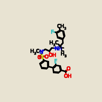 Cc1ccc(CC(C)(C)NC[C@@H](O)CN(C)S(=O)(=O)c2cccc(-c3ccc(C(=O)O)cc3F)c2)cc1F